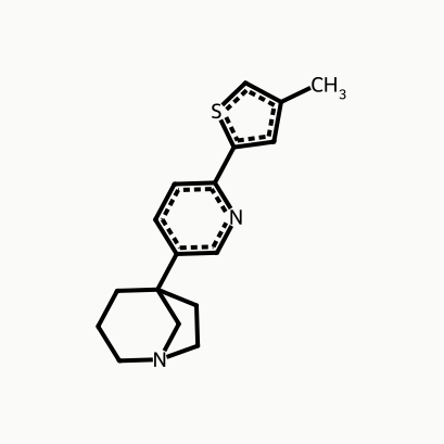 Cc1csc(-c2ccc(C34CCCN(CC3)C4)cn2)c1